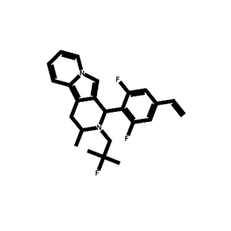 C=Cc1cc(F)c(C2c3cn4ccccc4c3CC(C)N2CC(C)(C)F)c(F)c1